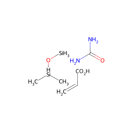 C=CC(=O)O.C[SiH](C)O[SiH3].NC(N)=O